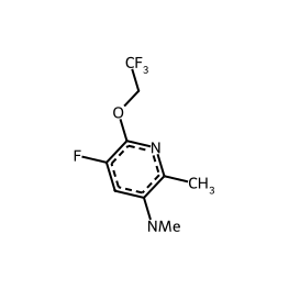 CNc1cc(F)c(OCC(F)(F)F)nc1C